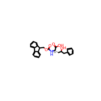 O=C(N[C@@H](CC(O)Cc1ccccc1)C(=O)O)OCC1c2ccccc2-c2ccccc21